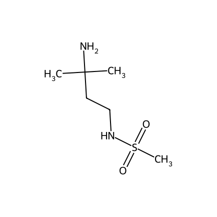 CC(C)(N)CCNS(C)(=O)=O